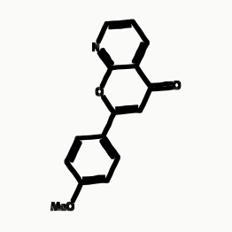 COc1ccc(-c2cc(=O)c3cccnc3o2)cc1